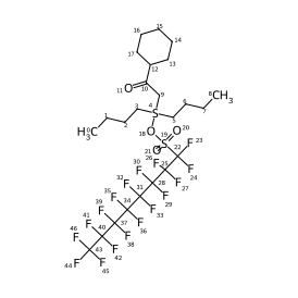 CCCCS(CCCC)(CC(=O)C1CCCCC1)OS(=O)(=O)C(F)(F)C(F)(F)C(F)(F)C(F)(F)C(F)(F)C(F)(F)C(F)(F)C(F)(F)F